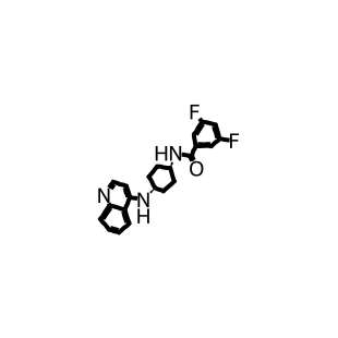 O=C(N[C@H]1CC[C@@H](Nc2ccnc3ccccc23)CC1)c1cc(F)cc(F)c1